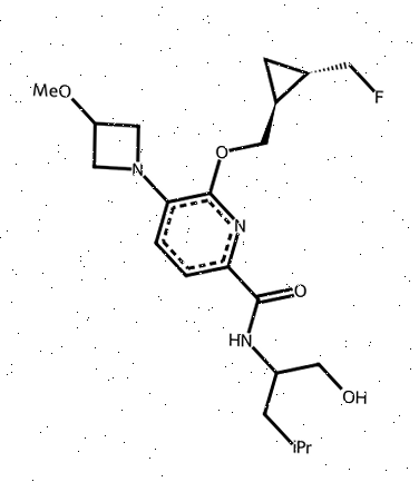 COC1CN(c2ccc(C(=O)NC(CO)CC(C)C)nc2OC[C@H]2C[C@@H]2CF)C1